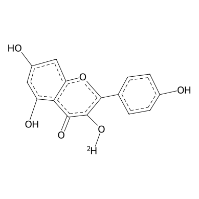 [2H]Oc1c(-c2ccc(O)cc2)oc2cc(O)cc(O)c2c1=O